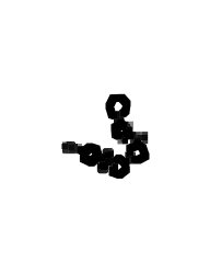 CC(C)(C)c1ccc(S(=O)(=O)N2CCCC(N3CCCC(Nc4nccc(N5CCCCCC5)n4)C3)C2)cc1